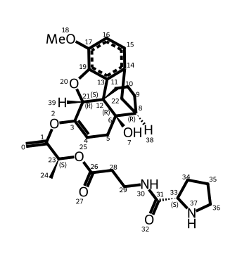 C=C(OC1=CC[C@@]2(O)[C@@H]3CCC[C@@]24c2c(ccc(OC)c2O[C@@H]14)C3)[C@H](C)OC(=O)CCNC(=O)[C@@H]1CCCN1